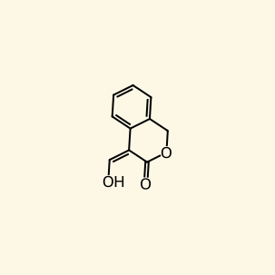 O=C1OCc2ccccc2C1=CO